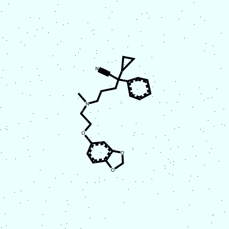 CN(CCCC(C#N)(c1ccccc1)C1CC1)CCOc1ccc2c(c1)OCO2